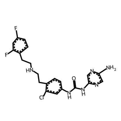 Nc1cnc(NC(=O)Nc2ccc(CCNCCc3ccc(F)cc3F)c(Cl)c2)cn1